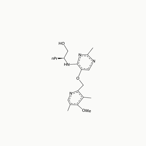 CCC[C@@H](CO)Nc1nc(C)ncc1OCc1ncc(C)c(OC)c1C